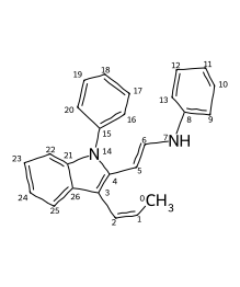 C/C=C\c1c(/C=C/Nc2ccccc2)n(-c2ccccc2)c2ccccc12